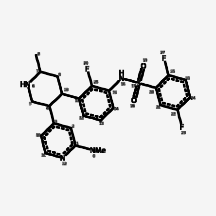 CNc1cc(C2CNC(C)CC2c2cccc(NS(=O)(=O)c3cc(F)ccc3F)c2F)ccn1